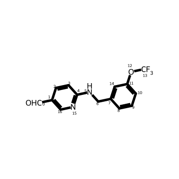 O=Cc1ccc(NCc2cccc(OC(F)(F)F)c2)nc1